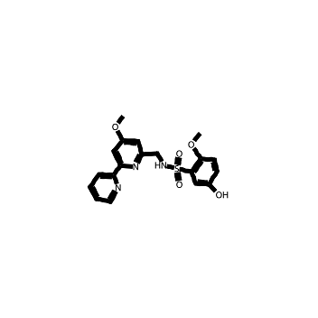 COc1cc(CNS(=O)(=O)c2cc(O)ccc2OC)nc(-c2ccccn2)c1